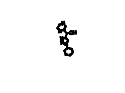 OC(c1cnccn1)c1cn(-c2ccccc2)nn1